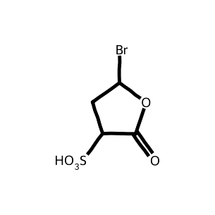 O=C1OC(Br)CC1S(=O)(=O)O